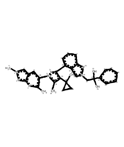 Cc1nc2nn(C)cc2cc1-n1nc(-c2cccc3nn(CC(O)(O)c4ccccc4)cc23)c(C2(C)CC2)c1C